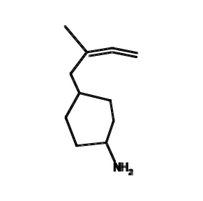 C=C=C(C)CC1CCC(N)CC1